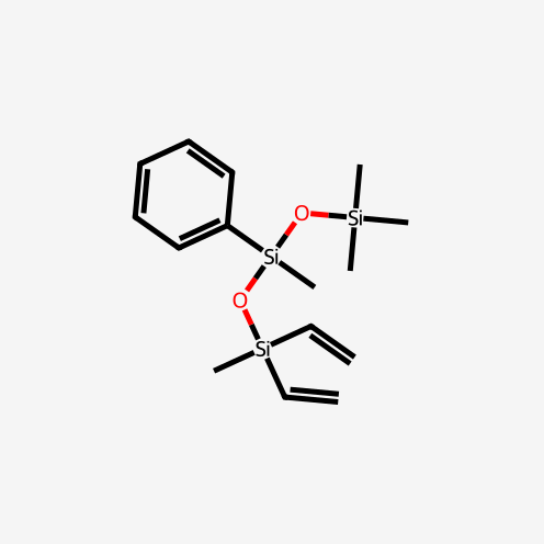 C=C[Si](C)(C=C)O[Si](C)(O[Si](C)(C)C)c1ccccc1